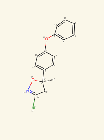 C[C@]1(c2ccc(Oc3ccccc3)cc2)CC(Br)=NO1